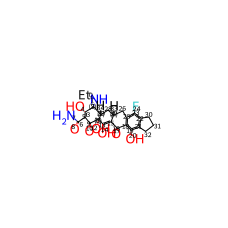 CCN[C@@H]1C(O)=C(C(N)=O)C(=O)[C@@]2(O)C(O)=C3C(=O)c4c(O)c5c(c(F)c4C[C@H]3C[C@@H]12)CCC5